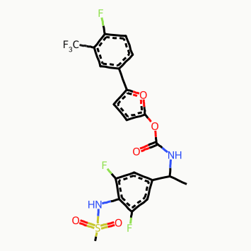 CC(NC(=O)Oc1ccc(-c2ccc(F)c(C(F)(F)F)c2)o1)c1cc(F)c(NS(C)(=O)=O)c(F)c1